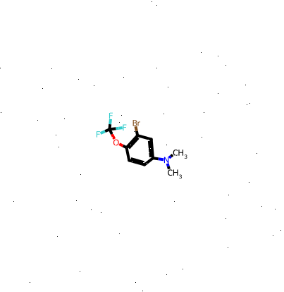 CN(C)c1ccc(OC(F)(F)F)c(Br)c1